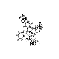 Cc1cc(C(=O)NCC(Cc2ccccc2)(c2cccc(OC(F)(F)F)c2)c2cccc(OC(F)(F)F)c2)no1